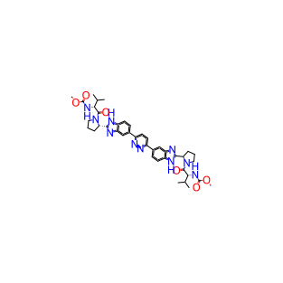 COC(=O)N[C@@H](C(=O)N1CCCC1c1nc2cc(-c3ccc(-c4ccc5[nH]c([C@@H]6CCCN6C(=O)[C@H](NC(=O)OC)C(C)C)nc5c4)nn3)ccc2[nH]1)C(C)C